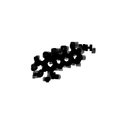 CC(=O)C1=C(O)[C@@H](N(C)C)C2CC3Cc4ccc(N)c(O)c4C(=O)C3=C(O)[C@]2(O)C1=O